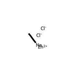 [CH3][Na].[Cl-].[Cl-].[Zn+2]